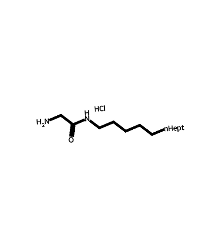 CCCCCCCCCCCCNC(=O)CN.Cl